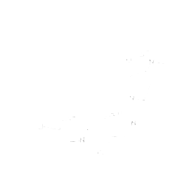 CN(C1CCN(c2cc(-c3ccc(Cl)cn3)c(Cl)cn2)CC1)S(C)(=O)=O